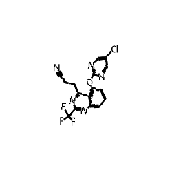 N#CCCc1nc(C(F)(F)F)nc2cccc(Oc3ncc(Cl)cn3)c12